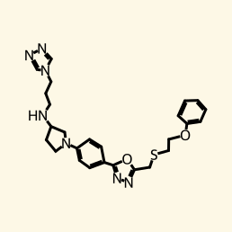 c1ccc(OCCSCc2nnc(-c3ccc(N4CCC(NCCCn5cnnc5)C4)cc3)o2)cc1